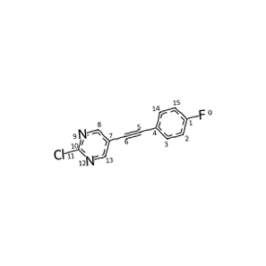 Fc1ccc(C#Cc2cnc(Cl)nc2)cc1